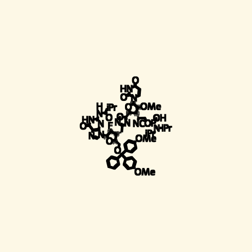 COc1ccc(C(OC[C@H]2O[C@@H](n3cnc4c(=O)[nH]c(NC(=O)C(C)C)nc43)[C@H](F)[C@@H]2Cc2noc([C@H]3O[C@@H](n4ccc(=O)[nH]c4=O)[C@H](OC)[C@@H]3C(C#N)COP(O)N(C(C)C)C(C)C)n2)(c2ccccc2)c2ccc(OC)cc2)cc1